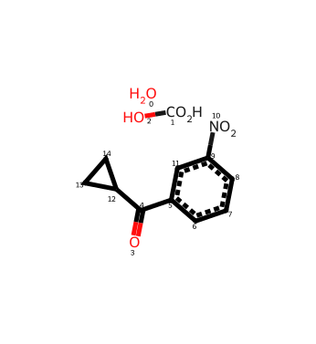 O.O=C(O)O.O=C(c1cccc([N+](=O)[O-])c1)C1CC1